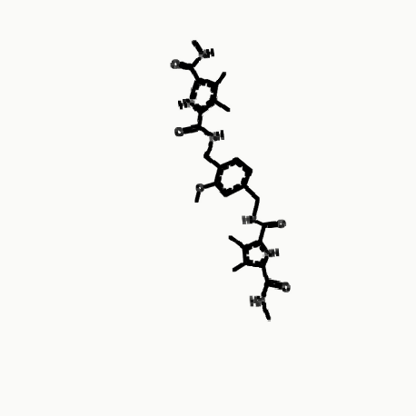 CNC(=O)c1[nH]c(C(=O)NCc2ccc(CNC(=O)c3[nH]c(C(=O)NC)c(C)c3C)c(OC)c2)c(C)c1C